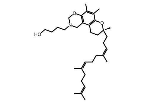 CC(C)=CCCC(C)=CCCC(C)=CCC[C@]1(C)CCc2c3c(c(C)c(C)c2O1)OCN(CCCCO)C3